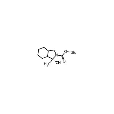 CC(C)(C)OC(=O)N1CC2CCCCC2[C@@]1(C)C#N